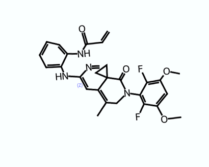 C=CC(=O)Nc1ccccc1N/C(=C/C1=C(C)CN(c2c(F)c(OC)cc(OC)c2F)C(=O)C12CC2)N=C